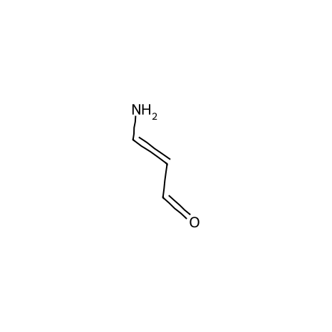 NC=CC=O